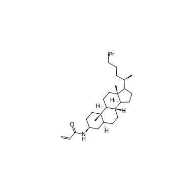 C=CC(=O)N[C@H]1CC[C@@]2(C)[C@@H](CC[C@@H]3[C@@H]2CC[C@]2(C)C([C@H](C)CCCC(C)C)CC[C@@H]32)C1